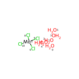 O.O.O.O.O.O.[Cl][Mo]([Cl])([Cl])[Cl]